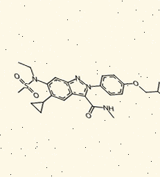 CCN(c1cc2nn(-c3ccc(OCC(C)C)cc3)c(C(=O)NC)c2cc1C1CC1)S(C)(=O)=O